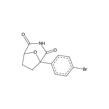 O=C1NC(=O)C2(c3ccc(Br)cc3)CCC1O2